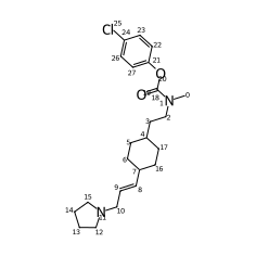 CN(CCC1CCC(C=CCN2CCCC2)CC1)C(=O)Oc1ccc(Cl)cc1